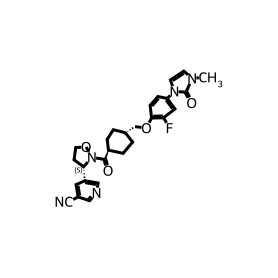 Cn1ccn(-c2ccc(OC[C@H]3CC[C@H](C(=O)N4OCC[C@H]4c4cncc(C#N)c4)CC3)c(F)c2)c1=O